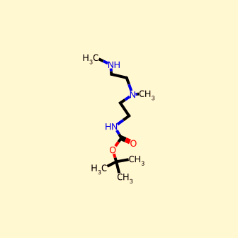 CNCCN(C)CCNC(=O)OC(C)(C)C